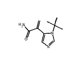 C=C(C(N)=O)c1cncn1C(C)(C)C